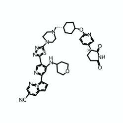 N#Cc1cnn2c(-c3cc(NC4CCOCC4)c(-c4nnc(N5CCN(C[C@H]6CC[C@H](Oc7ccc([C@@H]8CCC(=O)NC8=O)cn7)CC6)CC5)s4)cn3)ccc2c1